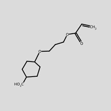 C=CC(=O)OCCCOC1CCC(C(=O)O)CC1